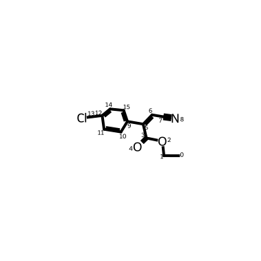 CCOC(=O)/C(=C\C#N)c1ccc(Cl)cc1